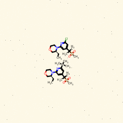 CC[C@H]1COCCN1c1cc(C(C)(C)S(C)(=O)=O)c[c]([Sn]([CH3])([CH3])[CH3])n1.CC[C@H]1COCCN1c1cc(C(C)(C)S(C)(=O)=O)cc(Cl)n1